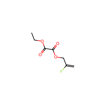 C=C(F)COC(=O)C(=O)OCC